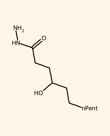 CCCCCCCC(O)CCC(=O)NN